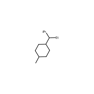 CCC(C(C)C)C1CCC(C)CC1